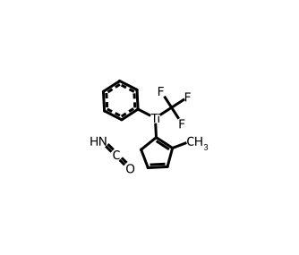 CC1=[C]([Ti]([c]2ccccc2)[C](F)(F)F)CC=C1.N=C=O